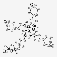 CC[Si](C)(C)O[Si](C)(C)O[Si](C)(C)CC[Si](C)(C)O[Si](O[Si](C)(C)CCC1CCC2OC2C1)(O[Si](C)(C)CCC1CCC2OC2C1)O[Si](C)(C)CCC1CCC2OC2C1